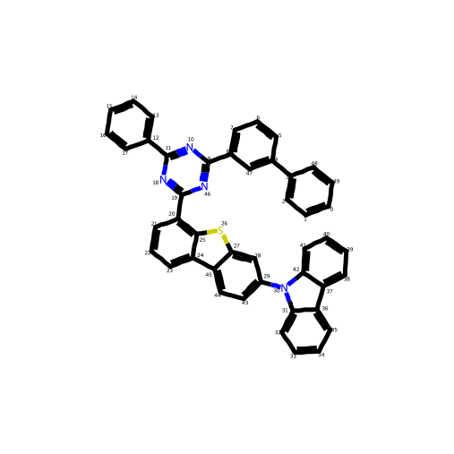 c1ccc(-c2cccc(-c3nc(-c4ccccc4)nc(-c4cccc5c4sc4cc(-n6c7ccccc7c7ccccc76)ccc45)n3)c2)cc1